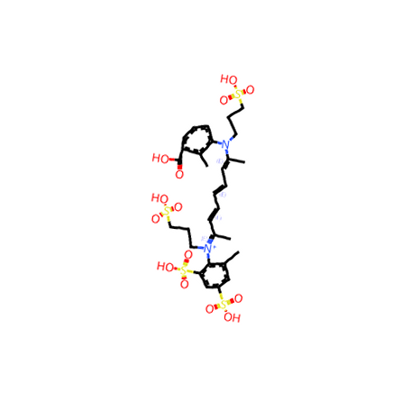 C\C(=C/C=C/C=C/C(C)=[N+](\CCCS(=O)(=O)O)c1c(C)cc(S(=O)(=O)O)cc1S(=O)(=O)O)N(CCCS(=O)(=O)O)c1cccc(C(=O)O)c1C